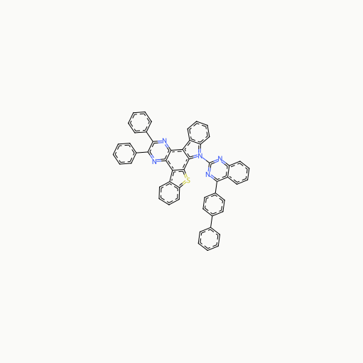 c1ccc(-c2ccc(-c3nc(-n4c5ccccc5c5c6nc(-c7ccccc7)c(-c7ccccc7)nc6c6c7ccccc7sc6c54)nc4ccccc34)cc2)cc1